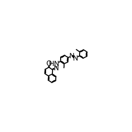 Cc1ccccc1N=Nc1ccc(N/N=C2\C(=O)C=Cc3ccccc32)c(C)c1